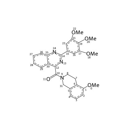 COc1cccc2c1CCN(C(=O)c1nc(-c3cc(OC)c(OC)c(OC)c3)nc3ccccc13)C2